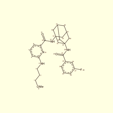 COCCCNc1cccc(C(=O)NC23CC4CC(CC(NC(=O)c5cccc(F)c5)(C4)C2)C3)n1